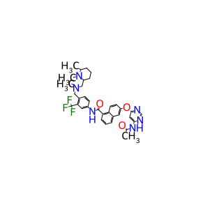 CC(=O)Nc1cc(Oc2ccc3c(C(=O)Nc4ccc(CN(C)CC5CCCC(C)N5C)c(C(F)(F)F)c4)cccc3c2)ncn1